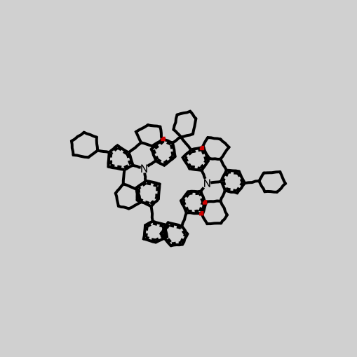 c1ccc(-c2ccc(N(c3ccc(C4(c5ccc(N(c6ccc(-c7ccccc7)cc6)c6c(C7CCCCC7)cc(C7CCCCC7)cc6C6CCCCC6)cc5)CCCCC4)cc3)c3c(C4CCCCC4)cc(C4CCCCC4)cc3C3CCCCC3)cc2)cc1